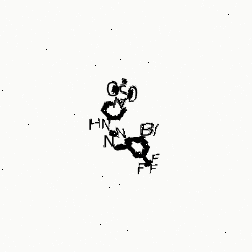 CS(=O)(=O)N1CCC(Nc2ncc3cc(C(F)(F)F)cc(Br)c3n2)CC1